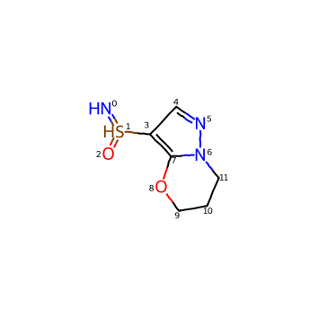 N=[SH](=O)c1cnn2c1OCCC2